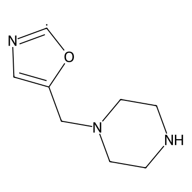 [c]1ncc(CN2CCNCC2)o1